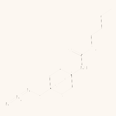 CCCCOC(=O)NC12CCC(CN=[N+]=[N-])(CC1)CC2